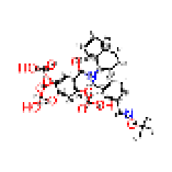 CC(C)(C)ON=Cc1cccc(CN(C(=O)c2cc(OC(=O)O)c(OC(=O)O)cc2OC(=O)O)[C@H]2CCCc3ccccc32)c1